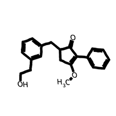 COC1=C(c2ccccc2)C(=O)C(Cc2cccc(CCO)c2)C1